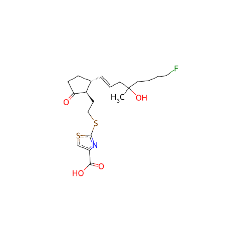 CC(O)(CC=C[C@H]1CCC(=O)[C@@H]1CCSc1nc(C(=O)O)cs1)CCCCF